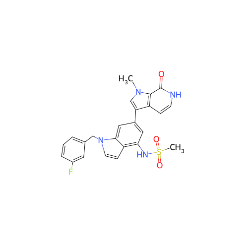 Cn1cc(-c2cc(NS(C)(=O)=O)c3ccn(Cc4cccc(F)c4)c3c2)c2cc[nH]c(=O)c21